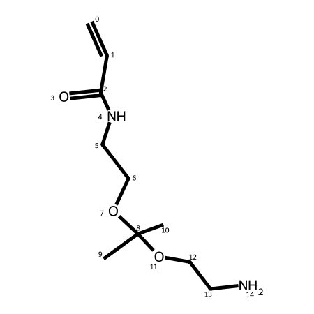 C=CC(=O)NCCOC(C)(C)OCCN